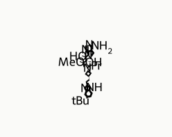 CO[C@H](CN(C(C)C)[C@H]1C[C@@H](CCc2nc3cc(C(C)(C)C)ccc3[nH]2)C1)[C@@H](O)[C@@H](O)n1ccc2c(N)ncnc21